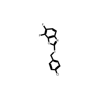 Fc1ccc2nc(SCc3ccc(Cl)cc3)oc2c1F